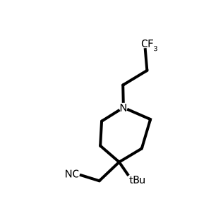 CC(C)(C)C1(CC#N)CCN(CCC(F)(F)F)CC1